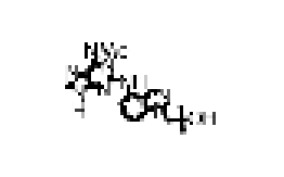 CNc1nc(Nc2cccc3c2cnn3CC(C)(C)O)nc2[nH]cnc12